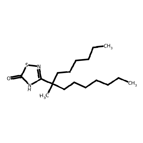 CCCCCCCC(C)(CCCCCC)c1nsc(=O)[nH]1